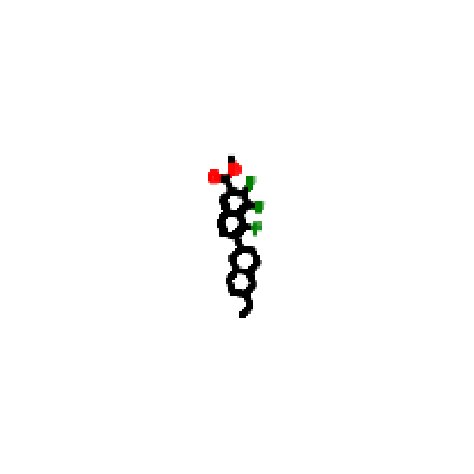 CCC1CCC2CC(c3ccc4cc(C(=O)OC)c(F)c(F)c4c3F)CCC2C1